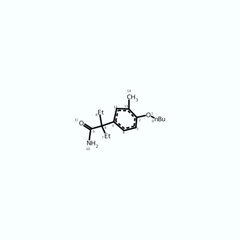 CCCCOc1ccc(C(CC)(CC)C(N)=O)cc1C